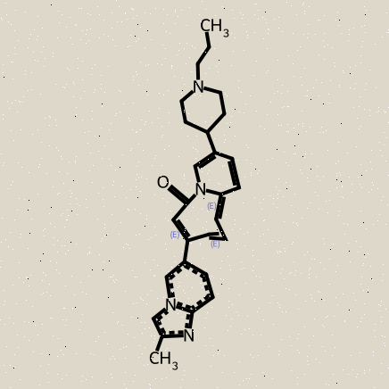 CCCN1CCC(C2=CN3C(=O)\C=C(c4ccc5nc(C)cn5c4)/C=C/C=C/3C=C2)CC1